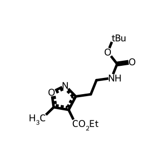 CCOC(=O)c1c(CCNC(=O)OC(C)(C)C)noc1C